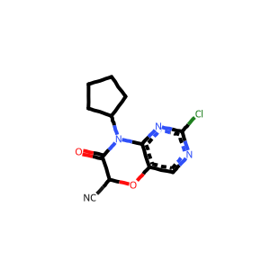 N#CC1Oc2cnc(Cl)nc2N(C2CCCC2)C1=O